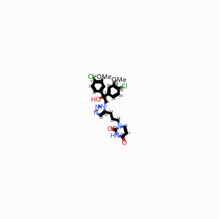 COc1cc(C(O)(Cn2nncc2CCCn2ccc(=O)[nH]c2=O)c2ccc(Cl)c(OC)c2)ccc1Cl